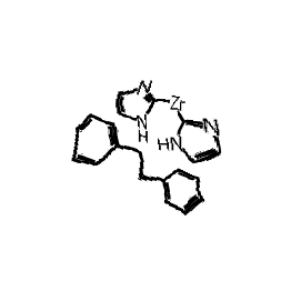 c1c[nH][c]([Zr][c]2ncc[nH]2)n1.c1ccc(CCc2ccccc2)cc1